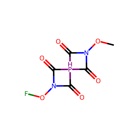 CON1C(=O)[PH]2(C1=O)C(=O)N(OF)C2=O